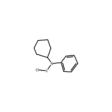 ClSN(c1ccccc1)C1CCCCC1